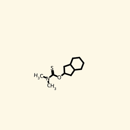 CN(C)C(=S)OC1CC2CCCCC2C1